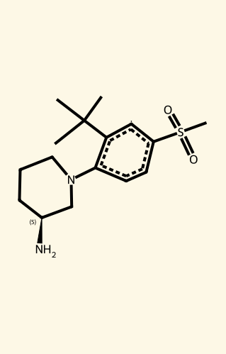 CC(C)(C)c1[c]c(S(C)(=O)=O)ccc1N1CCC[C@H](N)C1